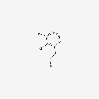 Fc1cccc(CCBr)c1Cl